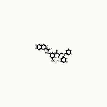 O=C(CN(c1ccccc1)c1ccccc1)Nc1cc(NC(=O)c2ccc3ccccc3n2)cc(C(=O)O)c1